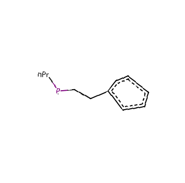 CCC[P]CCc1ccccc1